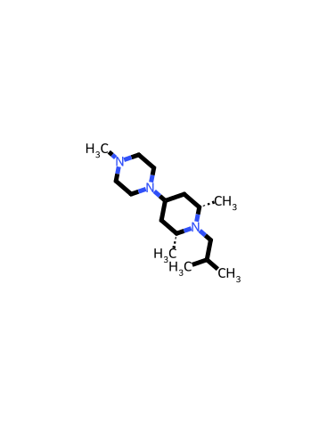 CC(C)CN1[C@H](C)CC(N2CCN(C)CC2)C[C@@H]1C